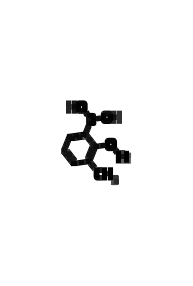 CCOc1c(C)cccc1B(O)O